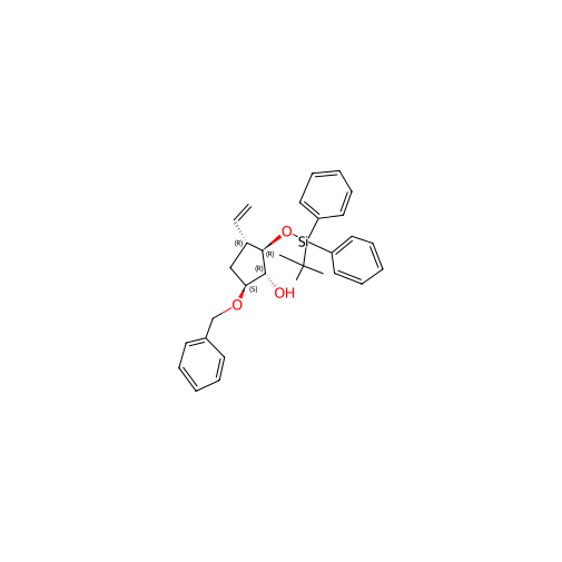 C=C[C@H]1C[C@H](OCc2ccccc2)[C@@H](O)[C@@H]1O[Si](c1ccccc1)(c1ccccc1)C(C)(C)C